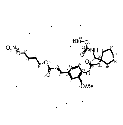 COc1cc(/C=C/C(=O)OCCCCO[N+](=O)[O-])ccc1OC(=O)CC1(CNC(=O)OC(C)(C)C)CCCCC1